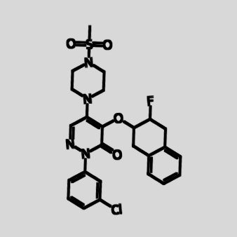 CS(=O)(=O)N1CCN(c2cnn(-c3cccc(Cl)c3)c(=O)c2OC2Cc3ccccc3CC2F)CC1